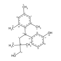 Cc1cc(C)c(N(CC(C)(C)CO)c2cccc(O)c2)c(C)c1